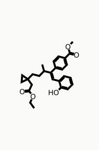 CCOC(=O)CC1(CCC(C)C(=Cc2ccccc2O)c2ccc(C(=O)OC)cc2)CC1